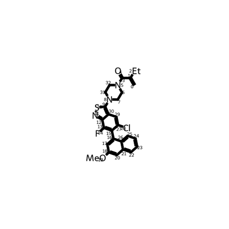 C=C(CC)C(=O)N1CCN(c2snc3c(F)c(-c4cc(OC)cc5ccccc45)c(Cl)cc23)CC1